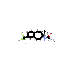 CC(=O)NC1(C)C=Cc2ccc(C(F)(F)F)cc2C=C1